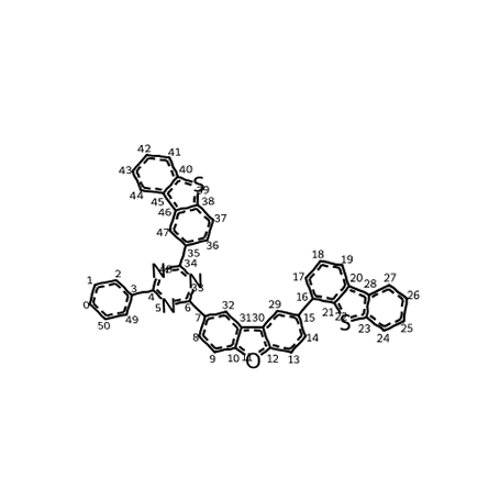 c1ccc(-c2nc(-c3ccc4oc5ccc(-c6cccc7c6sc6ccccc67)cc5c4c3)nc(-c3ccc4sc5ccccc5c4c3)n2)cc1